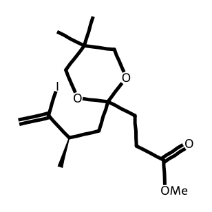 C=C(I)[C@H](C)CC1(CCC(=O)OC)OCC(C)(C)CO1